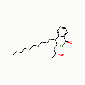 CCCCCCCCCCC(CCC(C)O)c1ccccc1C(=O)Cl